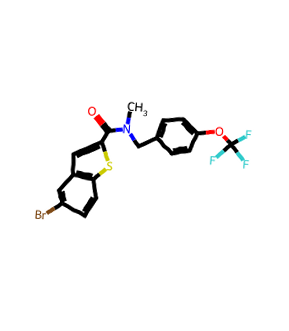 CN(Cc1ccc(OC(F)(F)F)cc1)C(=O)c1cc2cc(Br)ccc2s1